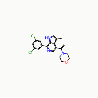 C=C(c1cnc(-c2cc(Cl)cc(Cl)c2)c2[nH]cc(C)c12)N1CCOCC1